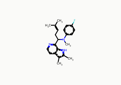 CC(C)=CCC(c1nccc2c(C)c(C)[nH]c12)N(C)c1ccc(F)cc1